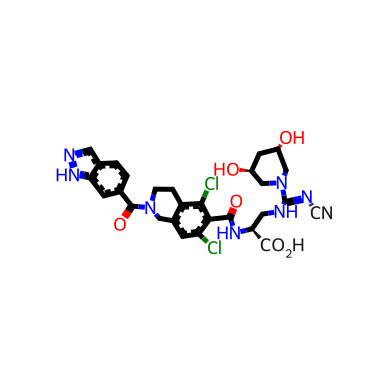 N#C/N=C(\NC[C@H](NC(=O)c1c(Cl)cc2c(c1Cl)CCN(C(=O)c1ccc3cn[nH]c3c1)C2)C(=O)O)N1C[C@H](O)C[C@H](O)C1